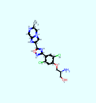 N[C@@H](CO)COc1cc(Cl)c(-c2noc(-c3cn4cc(C(F)(F)F)ncc4n3)n2)cc1Cl